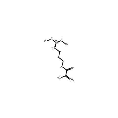 C=C(C)C(=O)OCCC[SiH2][SiH](OC(C)C)OC(C)C